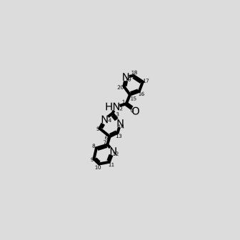 O=C(Nc1ncc(-c2ccccn2)cn1)c1cccnc1